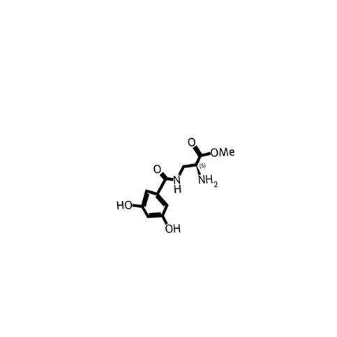 COC(=O)[C@@H](N)CNC(=O)c1cc(O)cc(O)c1